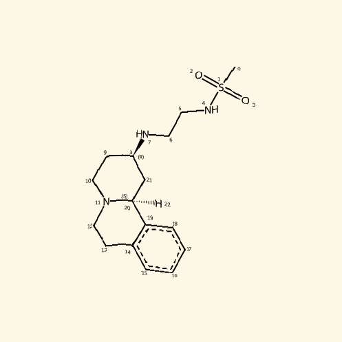 CS(=O)(=O)NCCN[C@@H]1CCN2CCc3ccccc3[C@@H]2C1